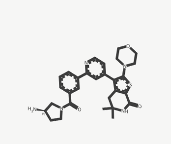 CC1(C)Cc2c(sc(N3CCOCC3)c2-c2ccnc(-c3cccc(C(=O)N4CC[C@@H](N)C4)c3)c2)C(=O)N1